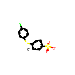 O=S(=O)([O-])c1ccc(Sc2ccc(Cl)cc2)cc1.[K+]